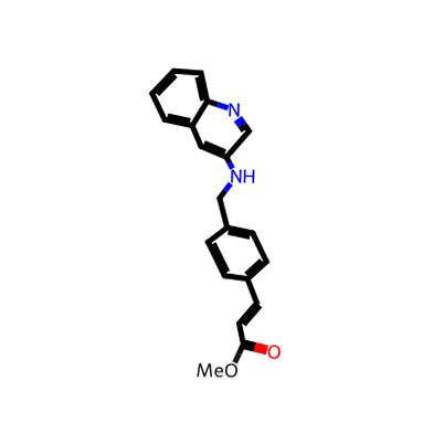 COC(=O)/C=C/c1ccc(CNc2cnc3ccccc3c2)cc1